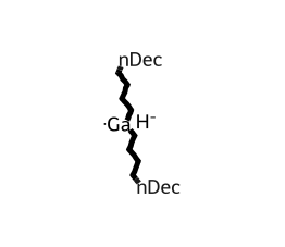 CCCCCCCCCCCCC[CH2][Ga][CH2]CCCCCCCCCCCCC.[H-]